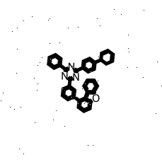 C1=CCC(c2ccc(-c3nc(-c4ccccc4)nc(-c4cccc(-c5cccc6oc7ccccc7c56)c4)n3)cc2)C=C1